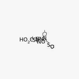 CC(C)(Sc1cnc(NC(=O)N(CCCSc2ccccc2)[C@H]2CC[C@H](C)CC2)s1)C(=O)O